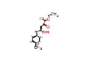 CCOC(=O)C(=O)C=C(O)Cc1ccc(C)cc1